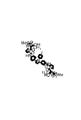 COC(=O)N[C@H](C(=O)N1CCC[C@H]1C(=O)NC1=CCC([C@H]2CC[C@H](c3ccc(NC(=O)[C@@H]4CCCN4C(=O)[C@@H](NC(=O)OC)C(C)(C)O)cc3)N2c2ccc(F)cc2)C=C1)C(C)(C)O